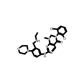 CCNCc1cc(Nc2ncc3c(n2)N(C)CN(c2c(Cl)cccc2Cl)C3=O)ccc1N1CCOCC1